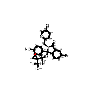 [2H]C([2H])(O)C1(C([2H])([2H])OC2(c3ccc(C#N)cc3)c3ccc(Br)cc3C(=O)N2Cc2ccc(Cl)cn2)CC1